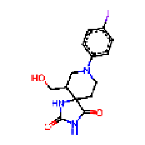 O=C1NC(=O)C2(CCN(c3ccc(I)cc3)CC2CO)N1